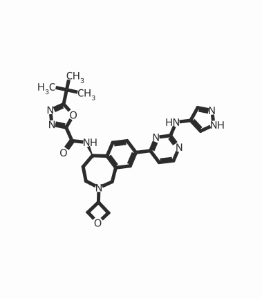 CC(C)(C)c1nnc(C(=O)N[C@@H]2CCN(C3COC3)Cc3cc(-c4ccnc(Nc5cn[nH]c5)n4)ccc32)o1